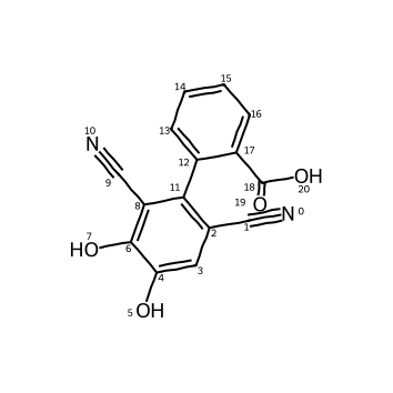 N#Cc1cc(O)c(O)c(C#N)c1-c1ccccc1C(=O)O